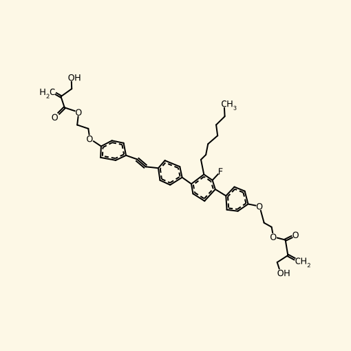 C=C(CO)C(=O)OCCOc1ccc(C#Cc2ccc(-c3ccc(-c4ccc(OCCOC(=O)C(=C)CO)cc4)c(F)c3CCCCCCC)cc2)cc1